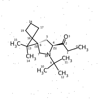 CCC(=O)[C@@H]1C[C@]2(CN1C(C)(C)C)C(C)(C)C21CCC1